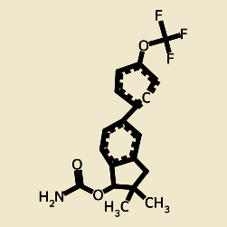 CC1(C)Cc2cc(-c3ccc(OC(F)(F)F)cc3)ccc2C1OC(N)=O